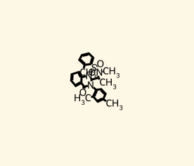 Cc1ccc(-n2c(C(C)N(C)S(=O)(=O)c3ccccc3C)nc3ccccc3c2=O)c(C)c1